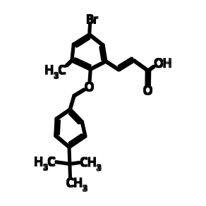 Cc1cc(Br)cc(/C=C/C(=O)O)c1OCc1ccc(C(C)(C)C)cc1